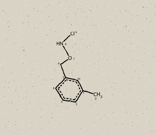 Cc1cccc(CONCl)c1